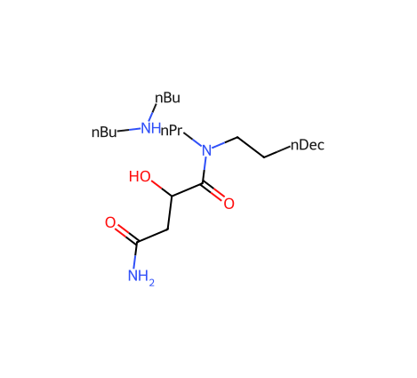 CCCCCCCCCCCCN(CCC)C(=O)C(O)CC(N)=O.CCCCNCCCC